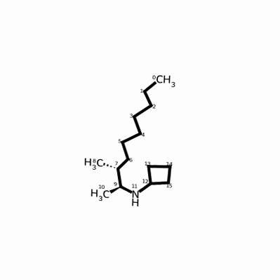 CCCCCCC[C@@H](C)[C@H](C)NC1CCC1